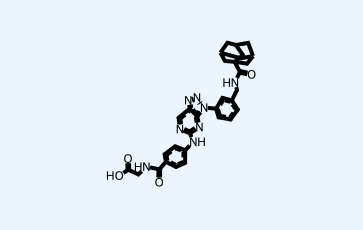 O=C(O)CNC(=O)c1ccc(Nc2ncc3nnn(-c4cccc(CNC(=O)C56CC7CC(CC(C7)C5)C6)c4)c3n2)cc1